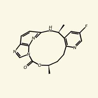 C[C@@H]1CCc2ncc(F)cc2[C@H](C)Nc2ccc3ncn(c3n2)C(=O)O1